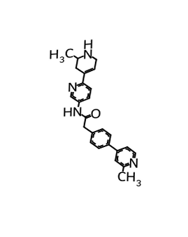 Cc1cc(-c2ccc(CC(=O)Nc3ccc(C4=CCNC(C)C4)nc3)cc2)ccn1